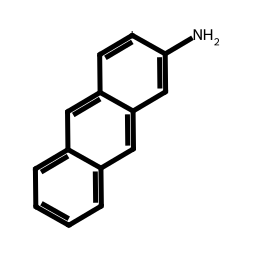 Nc1[c]cc2cc3ccccc3cc2c1